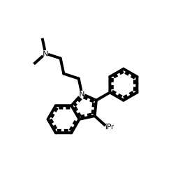 CC(C)c1c(-c2ccccc2)n(CCCN(C)C)c2ccccc12